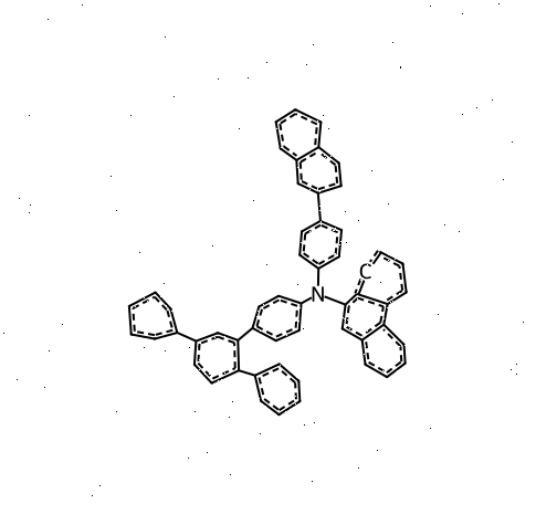 c1ccc(-c2ccc(-c3ccccc3)c(-c3ccc(N(c4ccc(-c5ccc6ccccc6c5)cc4)c4cc5ccccc5c5ccccc45)cc3)c2)cc1